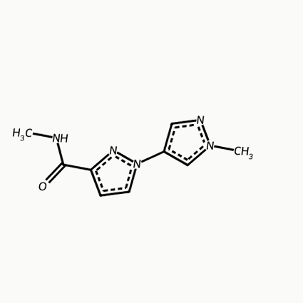 CNC(=O)c1ccn(-c2cnn(C)c2)n1